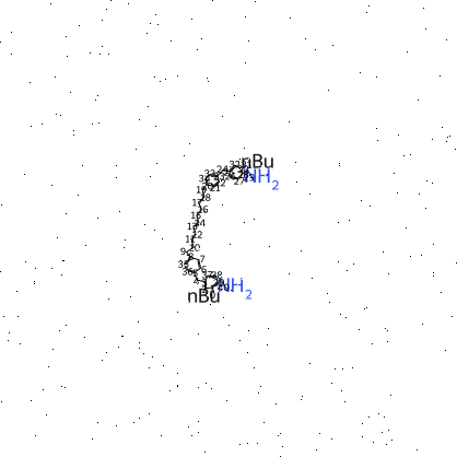 CCCCc1cc(Cc2ccc(CCCCCCCCCCCc3ccc(Cc4ccc(N)c(CCCC)c4)cc3)cc2)ccc1N